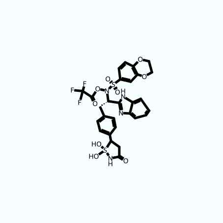 O=C1CC(c2ccc(C[C@@H](c3nc4ccccc4[nH]3)N(OC(=O)C(F)(F)F)S(=O)(=O)c3ccc4c(c3)OCCO4)cc2)S(O)(O)N1